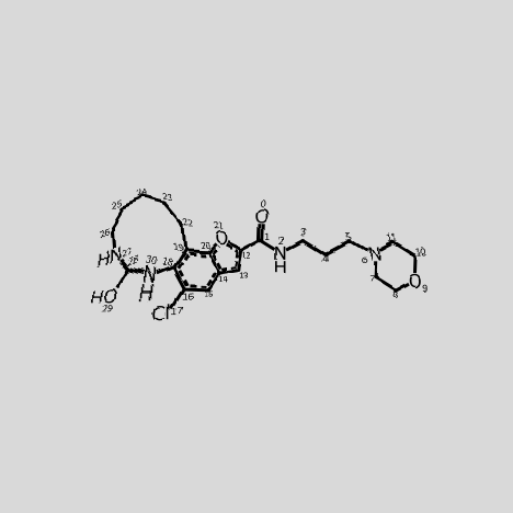 O=C(NCCCN1CCOCC1)c1cc2cc(Cl)c3c(c2o1)CCCCCNC(O)N3